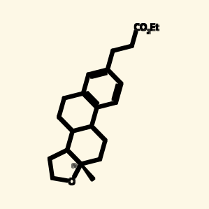 CCOC(=O)CCc1ccc2c(c1)CCC1C2CC[C@]2(C)OCCC12